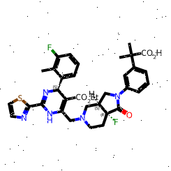 CCOC(=O)C1=C(CN2CC[C@]3(F)C(=O)N(c4cccc(C(C)(C)C(=O)O)c4)C[C@@H]3C2)NC(c2nccs2)=N[C@H]1c1cccc(F)c1C